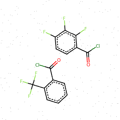 O=C(Cl)c1ccc(F)c(F)c1F.O=C(Cl)c1ccccc1C(F)(F)F